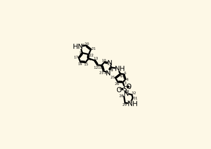 O=S(=O)(c1ccc(Nc2ncc(/C=C/c3cccc4[nH]ccc34)cn2)cc1)N1CCNCC1